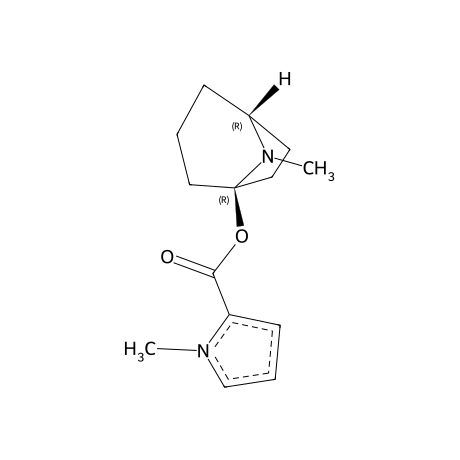 CN1[C@@H]2CCC[C@@]1(OC(=O)c1cccn1C)CC2